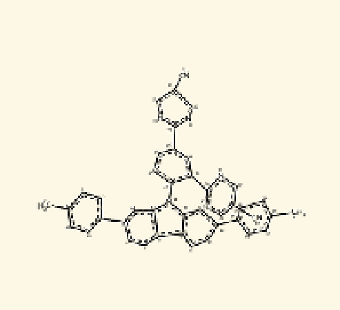 Cc1ccc(-c2ccc3c4ccc(-c5ccc(C)cc5)cc4n(-c4ccc(-c5ncc(C#N)cn5)cc4-c4ncc(C#N)cn4)c3c2)cc1